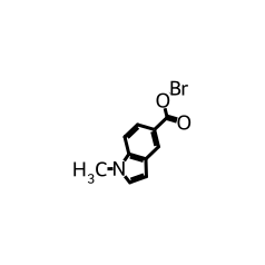 Cn1ccc2cc(C(=O)OBr)ccc21